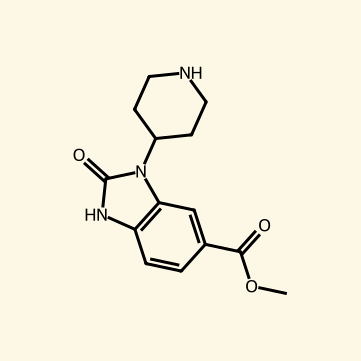 COC(=O)c1ccc2[nH]c(=O)n(C3CCNCC3)c2c1